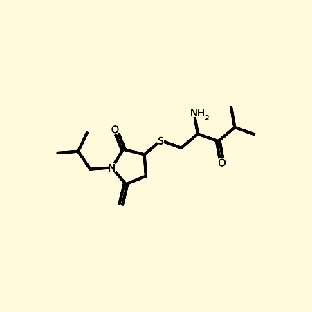 C=C1CC(SCC(N)C(=O)C(C)C)C(=O)N1CC(C)C